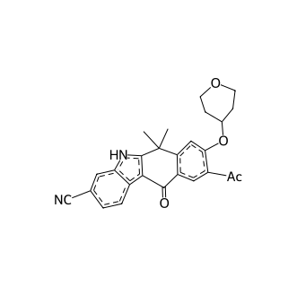 CC(=O)c1cc2c(cc1OC1CCOCC1)C(C)(C)c1[nH]c3cc(C#N)ccc3c1C2=O